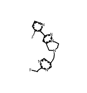 FCc1ncc(CN2CCn3nc(-c4ncccc4F)cc3C2)cn1